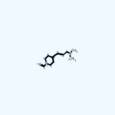 CN(C)CCCC1CCN(C=[N])CC1